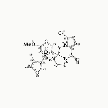 COc1ccc(C23Cn4c(Cl)ccc4C(=O)N2CCN3C(=O)c2conc2C)cc1